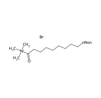 CCCCCCCCCCCCCCCCCC(=O)[N+](C)(C)C.[Br-]